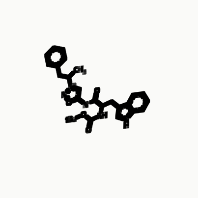 CC(Cc1ccccc1)[n+]1cc([N-]C(=O)C(Cc2c[nH]c3ccccc23)NC(=O)OC(C)(C)C)on1